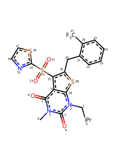 CC(C)Cn1c(=O)n(C)c(=O)c2c(S(=O)(=O)c3nccs3)c(Cc3ccccc3C(F)(F)F)sc21